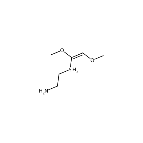 COC=C(OC)[SiH2]CCN